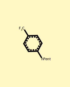 CCCCCc1ccc(C(F)(F)F)cc1